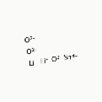 [Li+].[Li+].[O-2].[O-2].[O-2].[Sn+4]